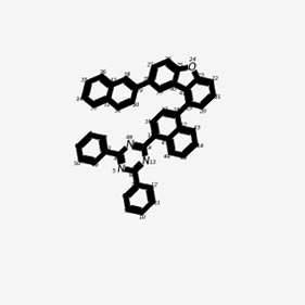 c1ccc(-c2nc(-c3ccccc3)nc(-c3ccc(-c4cccc5oc6ccc(-c7ccc8ccccc8c7)cc6c45)c4ccccc34)n2)cc1